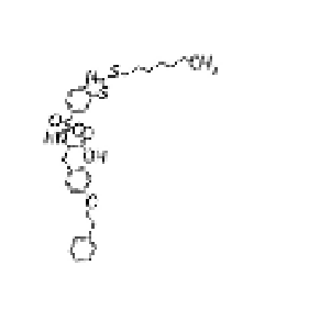 CCCCCCCSc1nc2ccc(S(=O)(=O)N[C@H](Cc3ccc(OCCc4ccccc4)cc3)C(=O)O)cc2s1